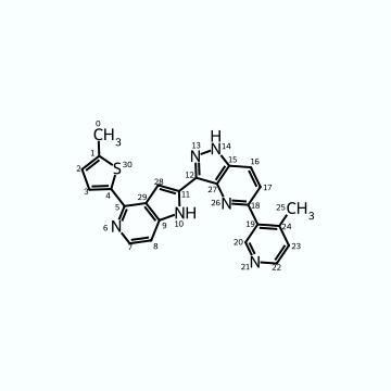 Cc1ccc(-c2nccc3[nH]c(-c4n[nH]c5ccc(-c6cnccc6C)nc45)cc23)s1